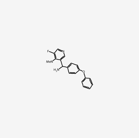 CNc1c(F)cncc1C(N)c1ccc(Oc2ccccc2)cc1